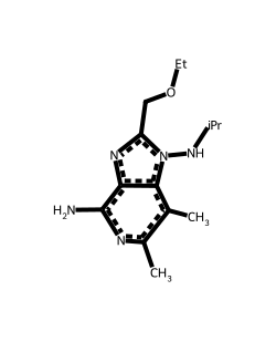 CCOCc1nc2c(N)nc(C)c(C)c2n1NC(C)C